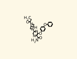 C=CC(=O)N1C[C@@H]2C1CN2c1cnc(C(N)=O)c(Oc2ccc(Oc3ccccc3)cc2)n1